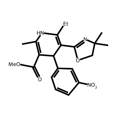 CCC1=C(C2=NC(C)(C)CO2)C(c2cccc([N+](=O)[O-])c2)C(C(=O)OC)=C(C)N1